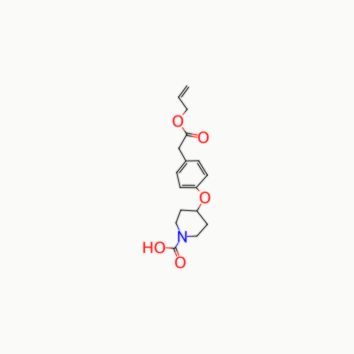 C=CCOC(=O)Cc1ccc(OC2CCN(C(=O)O)CC2)cc1